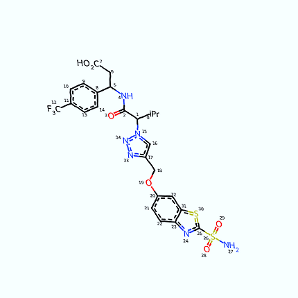 CC(C)C(C(=O)NC(CC(=O)O)c1ccc(C(F)(F)F)cc1)n1cc(COc2ccc3nc(S(N)(=O)=O)sc3c2)nn1